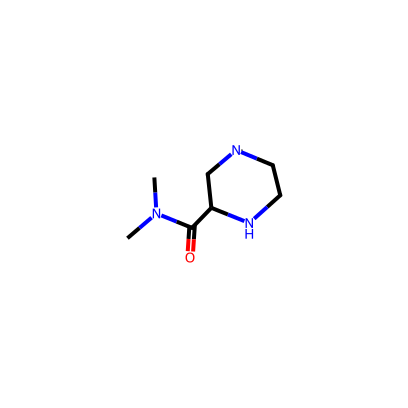 CN(C)C(=O)C1C[N]CCN1